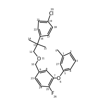 Cc1cccc(Oc2cc(COCC(C)(C)c3ccc(Cl)cc3)ccc2F)c1